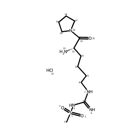 CS(=O)(=O)NC(=N)NCCCC[C@H](N)C(=O)N1CCCC1.Cl